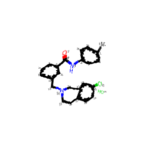 CC(=O)c1ccc(NC(=O)c2cccc(CN3CCc4ccc(Cl)cc4C3)c2)cc1.Cl